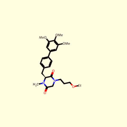 CCOCCCN1CC(=O)N(C)[C@@H](Cc2ccc(-c3cc(OC)c(OC)c(OC)c3)cc2)C1=O